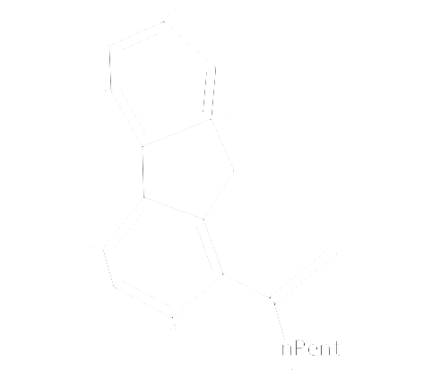 [CH]=C(CCCCC)c1cccc2c1Cc1ccccc1-2